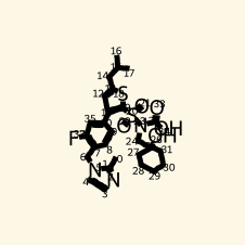 Cc1nccn1Cc1ccc(-c2cc(CC(C)C)sc2S(=O)(=O)N(CC2(O)CCCCC2)C(=O)O)cc1F